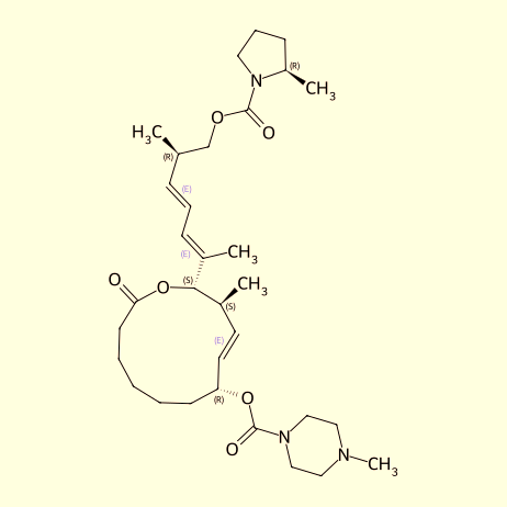 C/C(=C\C=C\[C@@H](C)COC(=O)N1CCC[C@H]1C)[C@H]1OC(=O)CCCCC[C@@H](OC(=O)N2CCN(C)CC2)/C=C/[C@@H]1C